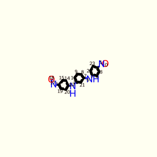 O=Nc1ccc(Nc2cccc(Nc3ccc(N=O)cc3)c2)cc1